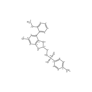 COc1ccccc1-c1cc(Cl)cc2c1OC(COS(=O)(=O)c1ccc(C)cc1)O2